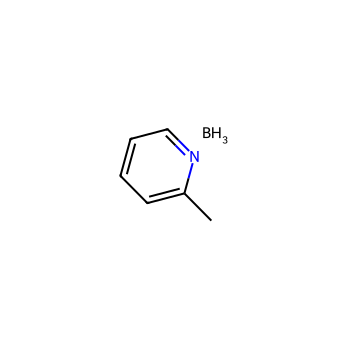 B.Cc1ccccn1